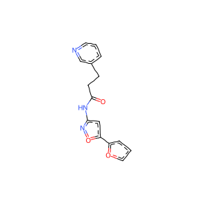 O=C(CCc1cccnc1)Nc1cc(-c2ccco2)on1